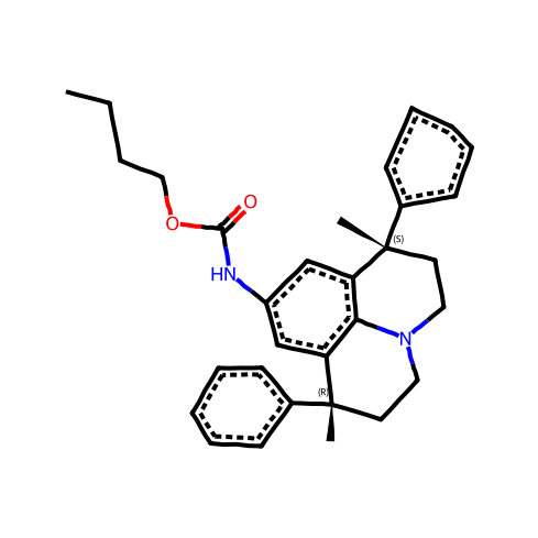 CCCCOC(=O)Nc1cc2c3c(c1)[C@@](C)(c1ccccc1)CCN3CC[C@@]2(C)c1ccccc1